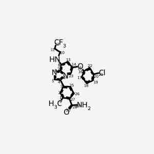 Cc1cc(-c2cnc3c(NCCC(F)(F)F)cc(Oc4cccc(Cl)c4)cn23)ccc1C(N)=O